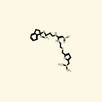 COC1(OCCCNC(=C[N+](=O)[O-])NCCSCc2ccc(CN(C)C)o2)CCc2ccccc21